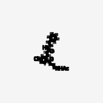 CC(=O)NCCCC(=O)c1ccc(Cl)cc1CCC(=O)NCCc1ccccc1